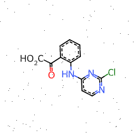 O=C(O)C(=O)c1ccccc1Nc1ccnc(Cl)n1